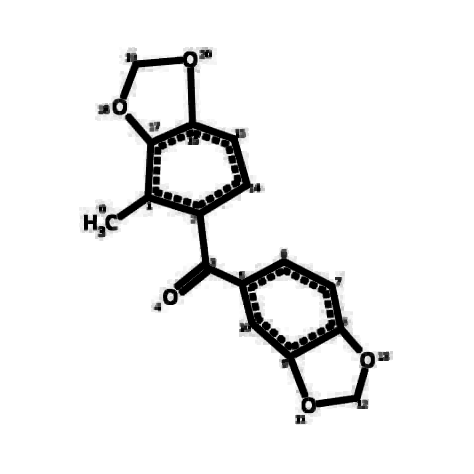 Cc1c(C(=O)c2ccc3c(c2)OCO3)ccc2c1OCO2